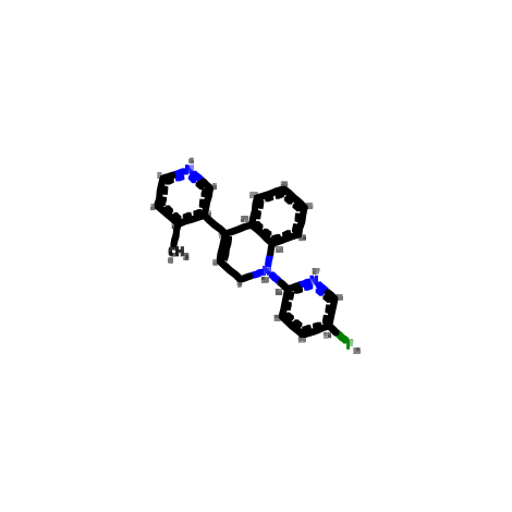 Cc1ccncc1C1=CCN(c2ccc(F)cn2)c2ccccc21